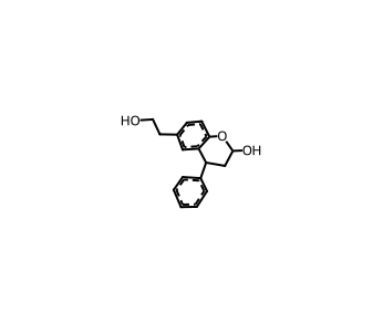 OCCc1ccc2c(c1)C(c1ccccc1)CC(O)O2